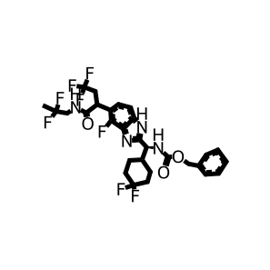 CC(F)(F)CNC(=O)C(CC(F)(F)F)c1ccc2[nH]c([C@@H](NC(=O)OCc3ccccc3)C3CCC(F)(F)CC3)nc2c1F